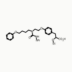 CCCNC(=O)N(CCCCOc1ccccc1)CCOc1ccc(CC(OCC)C(=O)O)cc1